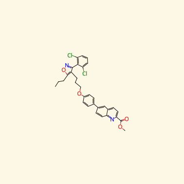 CCCc1onc(-c2c(Cl)cccc2Cl)c1CCCOc1ccc(-c2ccc3nc(C(=O)OC)ccc3c2)cc1